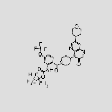 CC(C)(C)OC(=O)Nc1cc(OC(F)(F)F)ccc1C(=O)N1CCC(n2c(=O)cnc3cc(C4CCOCC4)cnc32)CC1